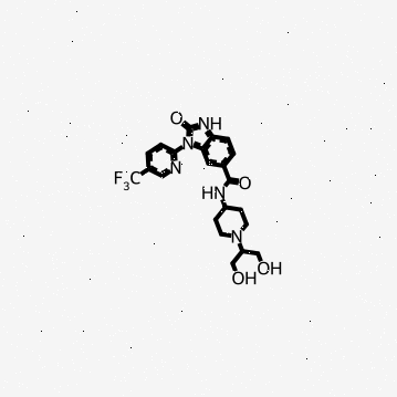 O=C(NC1CCN(C(CO)CO)CC1)c1ccc2[nH]c(=O)n(-c3ccc(C(F)(F)F)cn3)c2c1